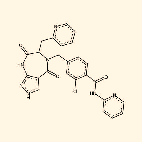 O=C(Nc1ccccn1)c1ccc(CN2C(=O)c3c[nH]nc3NC(=O)C2Cc2ccccn2)cc1Cl